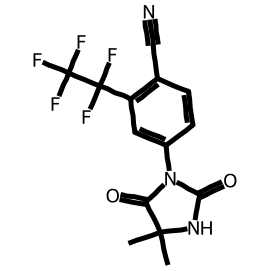 CC1(C)NC(=O)N(c2ccc(C#N)c(C(F)(F)C(F)(F)F)c2)C1=O